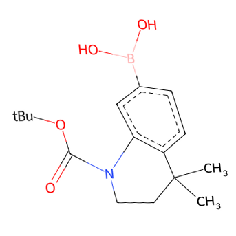 CC(C)(C)OC(=O)N1CCC(C)(C)c2ccc(B(O)O)cc21